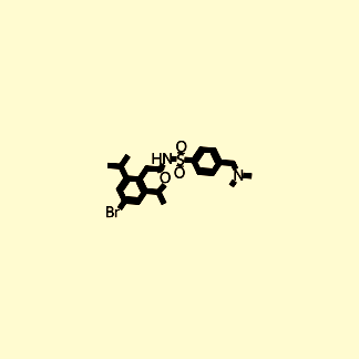 CC(C)c1cc(Br)cc(C(C)C)c1CC(=O)NS(=O)(=O)c1ccc(CN(C)C)cc1